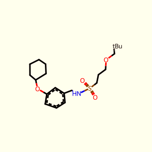 CC(C)(C)COCCCS(=O)(=O)NCc1cccc(OC2CCCCC2)c1